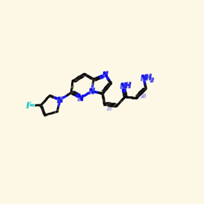 N=C(/C=C\N)/C=C\c1cnc2ccc(N3CCC(F)C3)nn12